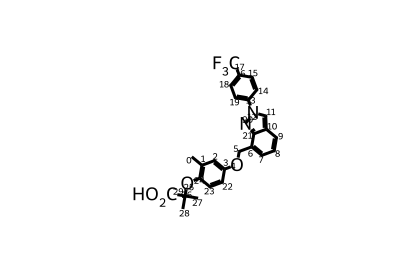 Cc1cc(OCc2cccc3cn(-c4ccc(C(F)(F)F)cc4)nc23)ccc1OC(C)(C)C(=O)O